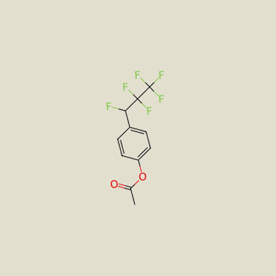 CC(=O)Oc1ccc(C(F)C(F)(F)C(F)(F)F)cc1